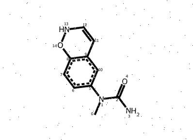 CN(C(N)=O)c1ccc2c(c1)C=CNO2